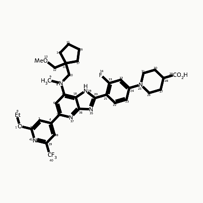 CCOc1cc(-c2cc(N(C)CC3(COC)CCCC3)c3[nH]c(-c4ccc(N5CCC(C(=O)O)CC5)cc4F)nc3n2)cc(C(F)(F)F)n1